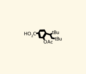 CC(=O)Oc1cc(C(=O)O)ccc1C(CC(C)(C)C)C(C)(C)C